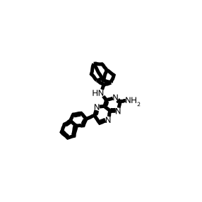 Nc1nc(NC2C3CC4CC(C3)CC2C4)c2nc(-c3ccc4ccccc4c3)cnc2n1